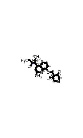 C=C/C(Cl)=C(\NC)c1cc(C)nc2c(OCc3c(Cl)cncc3Cl)cccc12